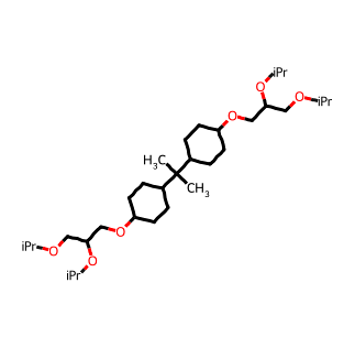 CC(C)OCC(COC1CCC(C(C)(C)C2CCC(OCC(COC(C)C)OC(C)C)CC2)CC1)OC(C)C